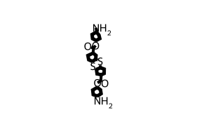 Nc1ccc(OC(=O)c2ccc3c(c2)Sc2ccc(C(=O)Oc4ccc(N)cc4)cc2S3)cc1